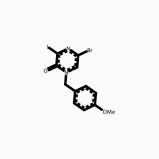 COc1ccc(Cn2cc(Br)nc(I)c2=O)cc1